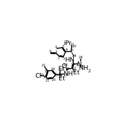 C=C/C=C\C(=C/C)[C@H](CN/C(=C(/CC)C(=O)NC(CC)(CC)c1ccc(Cl)c(C)c1)N(C)N)CC(C)C